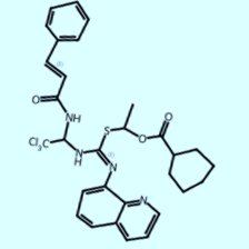 CC(OC(=O)C1CCCCC1)S/C(=N/c1cccc2cccnc12)NC(NC(=O)/C=C/c1ccccc1)C(Cl)(Cl)Cl